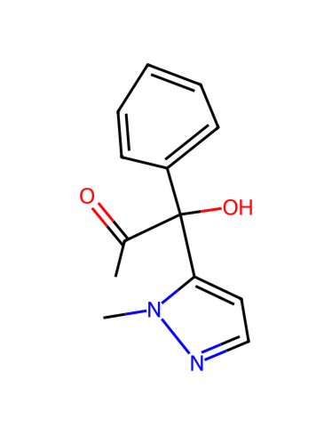 CC(=O)C(O)(c1ccccc1)c1ccnn1C